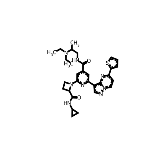 CCN(CC)C(C)CNC(=O)c1cc(-c2cnn3ccc(-c4cccs4)nc23)nc(N2CCC2C(=O)NC2CC2)c1